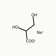 O=C([O-])C(O)CO.[Na+]